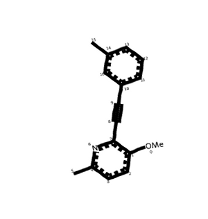 COc1ccc(C)nc1C#Cc1cccc(C)c1